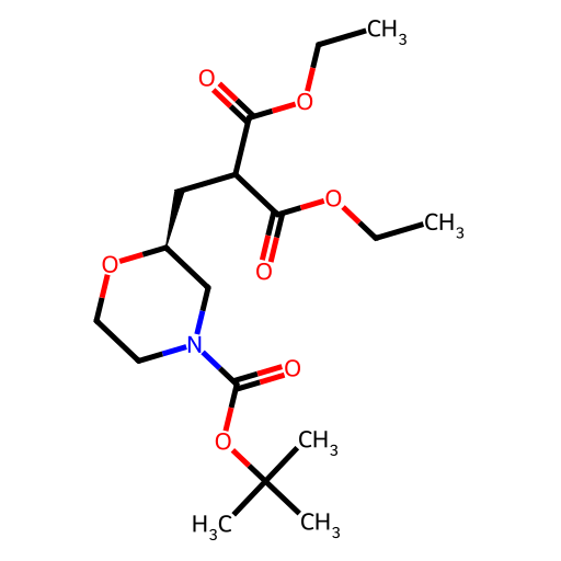 CCOC(=O)C(C[C@H]1CN(C(=O)OC(C)(C)C)CCO1)C(=O)OCC